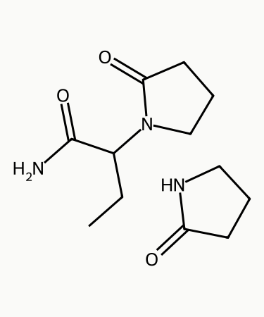 CCC(C(N)=O)N1CCCC1=O.O=C1CCCN1